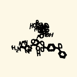 Nc1ncnc2c1ncn2[C@@H]1O[C@H](COP(=O)(O)OP(=O)(O)OP(=O)(O)O)C(OC(=O)c2ccc(C(=O)c3ccccc3)cc2)[C@@H]1O